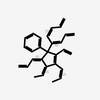 C=C/C=C\C(=C/C=C)C1(c2ccccc2)C(C=C)=C(/C=C\C)C(=C/C)/C1=C\C=C